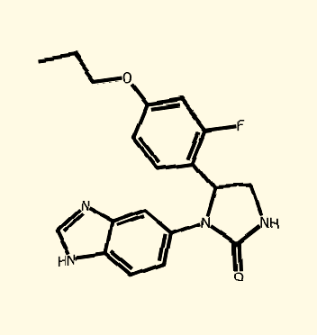 CCCOc1ccc(C2CNC(=O)N2c2ccc3[nH]cnc3c2)c(F)c1